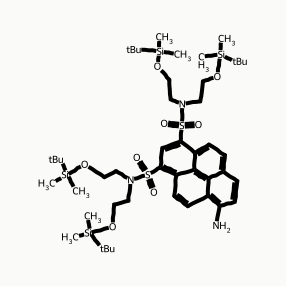 CC(C)(C)[Si](C)(C)OCCN(CCO[Si](C)(C)C(C)(C)C)S(=O)(=O)c1cc(S(=O)(=O)N(CCO[Si](C)(C)C(C)(C)C)CCO[Si](C)(C)C(C)(C)C)c2ccc3c(N)ccc4ccc1c2c43